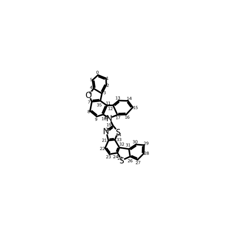 c1ccc2c(c1)oc1ccc3c(c4ccccc4n3-c3nc4ccc5sc6ccccc6c5c4s3)c12